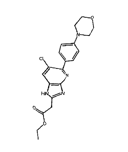 CCOC(=O)Cc1nc2nc(-c3ccc(N4CCOCC4)cc3)c(Cl)cc2[nH]1